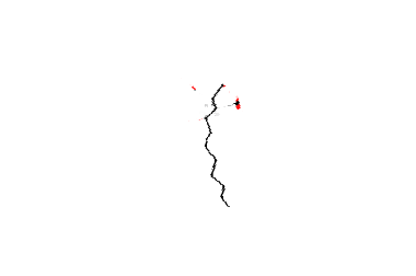 CCCCCCC[C@@H](O)[C@@H]1C(=O)OC[C@H]1CO